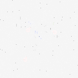 COc1cc(-c2nc(-c3ccc(CC=O)cc3)cn2CC(=O)NC(C)C)ccc1F